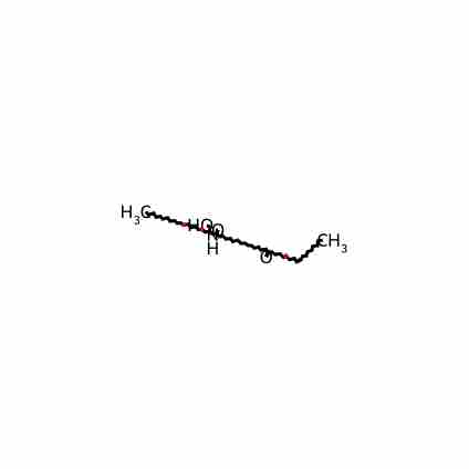 CCCCCCCC/C=C\CCCCCCCC(=O)CCCCCCCCCCCCCCC(=O)N[C@@H](CO)CCCCCCCCCCCCCCCCCC